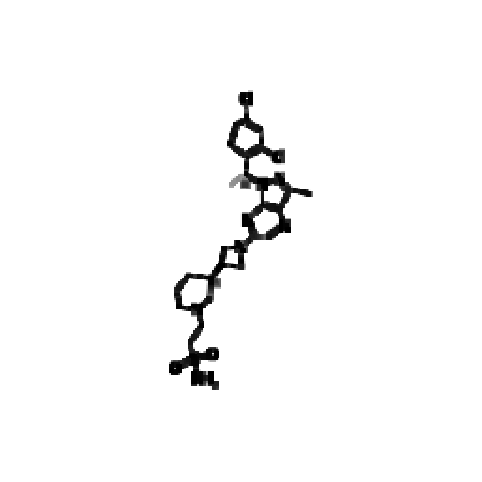 Cc1nn([C@H](C)c2ccc(Cl)cc2Cl)c2nc(N3CC([C@@H]4CCCN(CCS(N)(=O)=O)C4)C3)cnc12